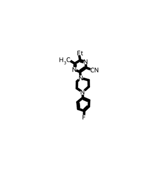 CCc1nc(C#N)c(N2CCN(c3ccc(F)cc3)CC2)nc1C